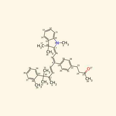 C=C(/C=C/C(=C/C=C1/N(C)c2ccccc2C1(C)C)c1ccc(CCC(C)=O)cc1)C(C)(C)c1ccccc1C